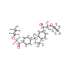 CC(C)(O[Si](C)(C)[Si](C)(C)C)C(=O)c1ccc(C2(C)CC(C)(C)c3ccc(C(=O)C(C)(C)O[Si](C)(C)[Si](C)(C)C)cc32)cc1